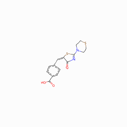 O=C1N=C(N2CCSCC2)S/C1=C/c1ccc(C(=O)O)cc1